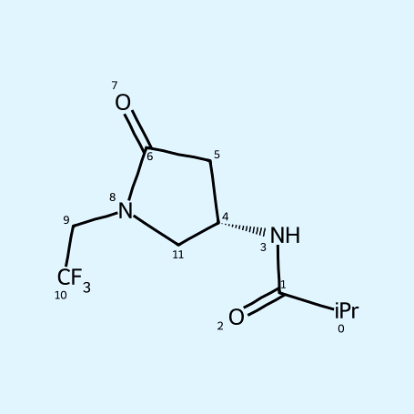 CC(C)C(=O)N[C@H]1CC(=O)N(CC(F)(F)F)C1